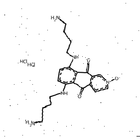 Cl.Cl.NCCCCNc1ccc(NCCCCN)c2c1C(=O)c1cc[n+]([O-])cc1C2=O